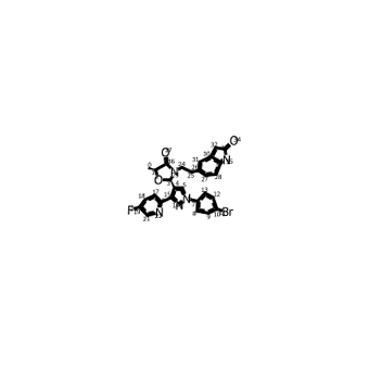 C[C@@H]1O[C@H](c2cn(-c3ccc(Br)cc3)nc2-c2ccc(F)cn2)N(CCc2ccc3c(c2)=CC(=O)N=3)C1=O